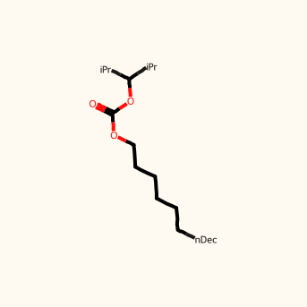 CCCCCCCCCCCCCCCCOC(=O)OC(C(C)C)C(C)C